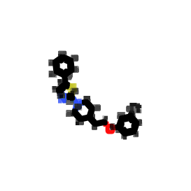 CCc1cccc(OCCC2CCN(c3ncc(-c4ccccc4)s3)CC2)c1